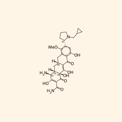 COc1c([C@@H]2CCCN2CC2CC2)cc(O)c2c1C[C@H]1C[C@H]3[C@H](N)C(O)=C(C(N)=O)C(=O)[C@@]3(O)C(O)=C1C2=O